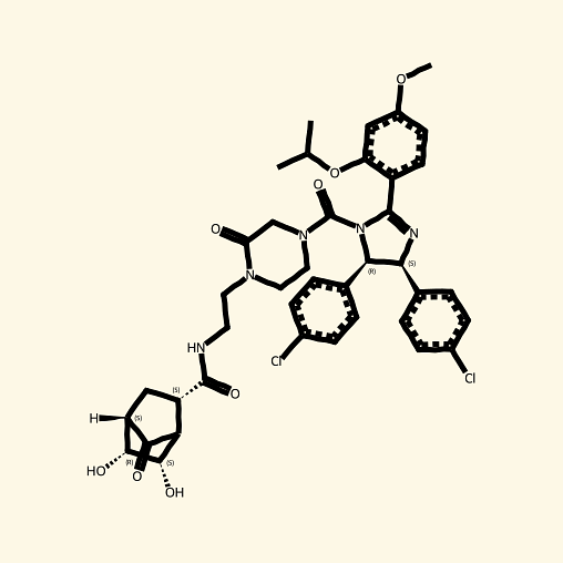 COc1ccc(C2=N[C@@H](c3ccc(Cl)cc3)[C@@H](c3ccc(Cl)cc3)N2C(=O)N2CCN(CCNC(=O)[C@H]3C[C@@H]4C(=O)C3[C@H](O)[C@@H]4O)C(=O)C2)c(OC(C)C)c1